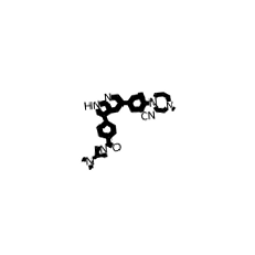 CN1CCCN(c2ccc(-c3cnc4[nH]cc(-c5ccc(C(=O)N6CC(N(C)C)C6)cc5)c4c3)cc2C#N)CC1